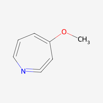 COC1=CC=CN=C=C1